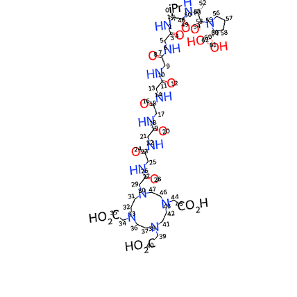 CC(C)[C@H](NC(=O)CNC(=O)CNC(=O)CNC(=O)CNC(=O)CNC(=O)CNC(=O)CN1CCN(CC(=O)O)CCN(CC(=O)O)CCN(CC(=O)O)CC1)C(=O)N[C@H](C)C(=O)N1CCC[C@H]1B(O)O